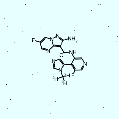 [2H]C([2H])([2H])n1cncc1-c1c(F)cncc1NC(=O)c1c(N)nn2cc(F)cnc12